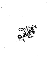 CC1=CC(=O)[C@H](NC(=O)Nc2cc(Cc3ccccc3C)sc2CCC(=O)[O-])C(=O)N1C.[Na+]